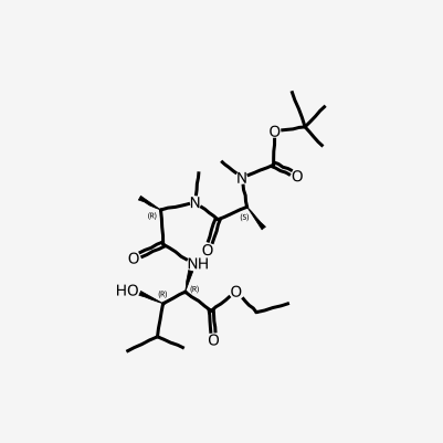 CCOC(=O)[C@H](NC(=O)[C@@H](C)N(C)C(=O)[C@H](C)N(C)C(=O)OC(C)(C)C)[C@H](O)C(C)C